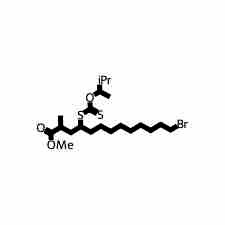 COC(=O)C(C)CC(CCCCCCCCCBr)SC(=S)OC(C)C(C)C